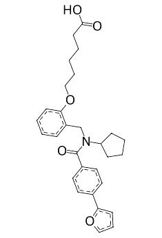 O=C(O)CCCCCOc1ccccc1CN(C(=O)c1ccc(-c2ccco2)cc1)C1CCCC1